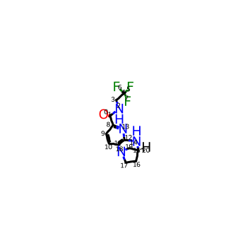 O=C(NCC(F)(F)F)c1ccc2c(n1)N[C@H]1CCN2C1